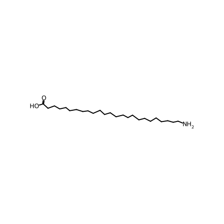 NCCCCCCCCCCCCCCCCCCCCCCCCC(=O)O